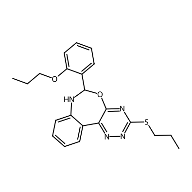 CCCOc1ccccc1C1Nc2ccccc2-c2nnc(SCCC)nc2O1